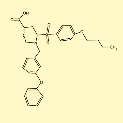 CCCCOc1ccc(S(=O)(=O)C2CC(C(=O)O)CCN2Cc2cccc(Oc3ccccc3)c2)cc1